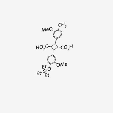 CC[Si](CC)(CC)Oc1ccc([C@H]2[C@@H](C(=O)O)[C@H](c3ccc(C)c(OC)c3)[C@@H]2C(=O)O)cc1OC